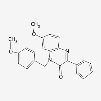 COc1ccc(Cn2c(=O)c(-c3[c]cccc3)nc3ccc(OC)cc32)cc1